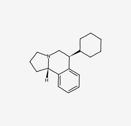 c1ccc2c(c1)[C@H](C1CCCCC1)CN1CCC[C@@H]21